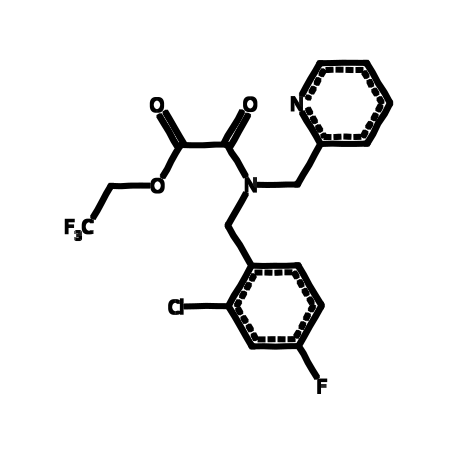 O=C(OCC(F)(F)F)C(=O)N(Cc1ccccn1)Cc1ccc(F)cc1Cl